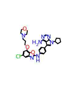 Nc1ncnc2c1c(-c1ccc(Nc3nc4cc(Cl)cc(OCCCN5CCOCC5)c4o3)cc1)cn2C1CCCC1